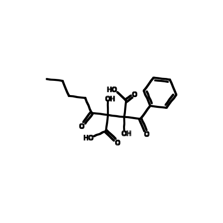 CCCCC(=O)C(O)(C(=O)O)C(O)(C(=O)O)C(=O)c1ccccc1